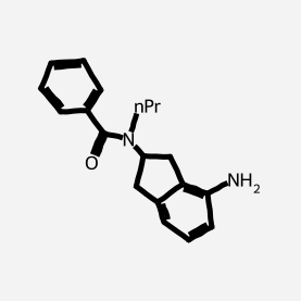 CCCN(C(=O)c1ccccc1)C1Cc2cccc(N)c2C1